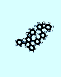 c1ccc(-c2nc3ccccc3c3c(-c4cccc(-c5cccc(-c6cccc7oc8ccccc8c67)c5)c4)c4c(cc23)oc2ccccc24)cc1